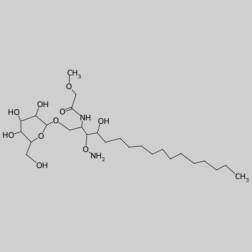 CCCCCCCCCCCCCC(O)C(ON)C(COC1OC(CO)C(O)C(O)C1O)NC(=O)COC